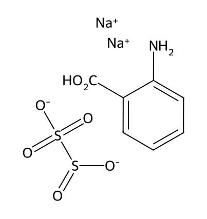 Nc1ccccc1C(=O)O.O=S([O-])S(=O)(=O)[O-].[Na+].[Na+]